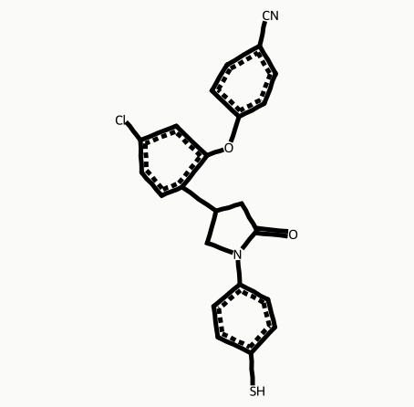 N#Cc1ccc(Oc2cc(Cl)ccc2C2CC(=O)N(c3ccc(S)cc3)C2)cc1